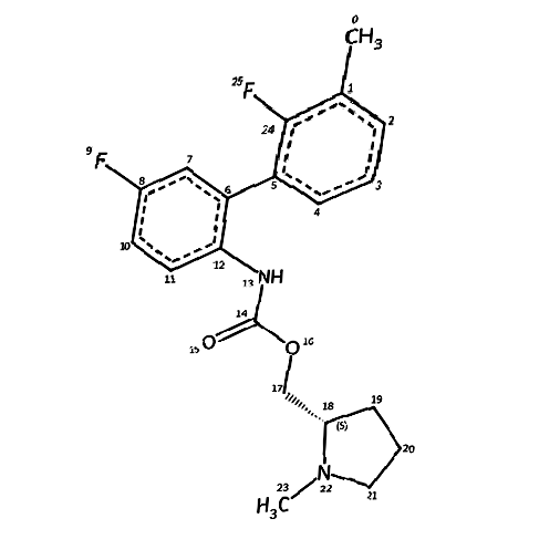 Cc1cccc(-c2cc(F)ccc2NC(=O)OC[C@@H]2CCCN2C)c1F